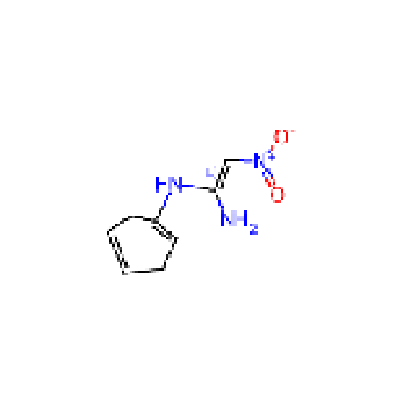 N/C(=C\[N+](=O)[O-])NC1=CCC=CC1